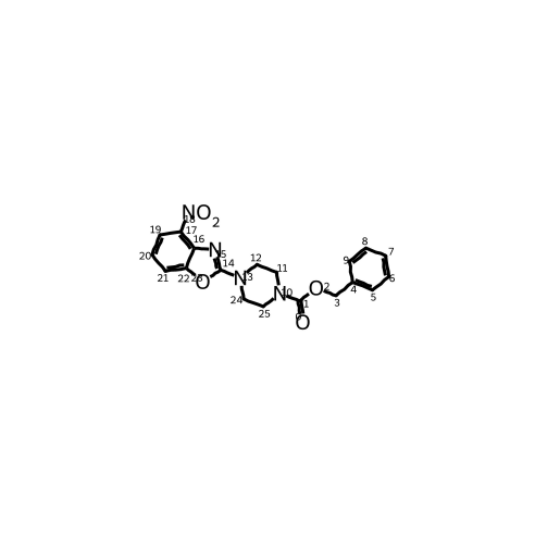 O=C(OCc1ccccc1)N1CCN(c2nc3c([N+](=O)[O-])cccc3o2)CC1